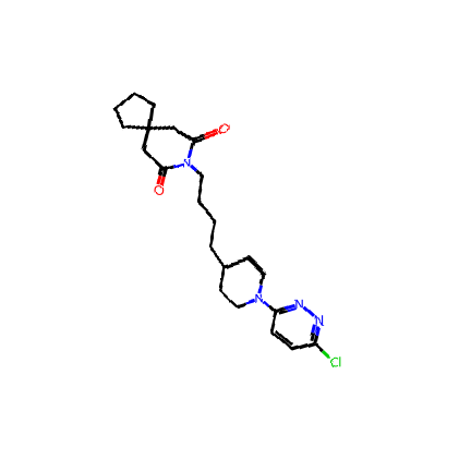 O=C1CC2(CCCC2)CC(=O)N1CCCCC1CCN(c2ccc(Cl)nn2)CC1